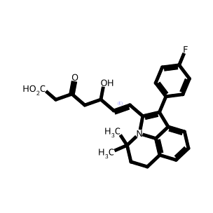 CC1(C)CCc2cccc3c(-c4ccc(F)cc4)c(/C=C/C(O)CC(=O)CC(=O)O)n1c23